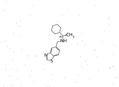 C[C@@H](NCc1ccc2scnc2c1)C1CCCCC1